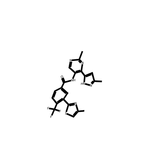 Cc1cc(-c2nc(C)ncc2NC(=O)c2ccc(C(F)(F)F)c(-c3nc(C)cs3)c2)[nH]n1